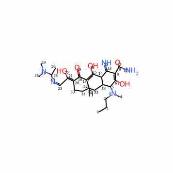 CCCN(C)[C@@H]1C(O)=C(C(N)=O)C(=N)C2C(O)=C3C(=O)/C(=C(O)/C=N\C(C)N(C)C)CC[C@H]3CC21